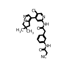 CC1(C)Cc2c(-c3cc(NC(=O)Cc4cccc(NC(=O)CC#N)c4)ncc3Cl)cnn2C1